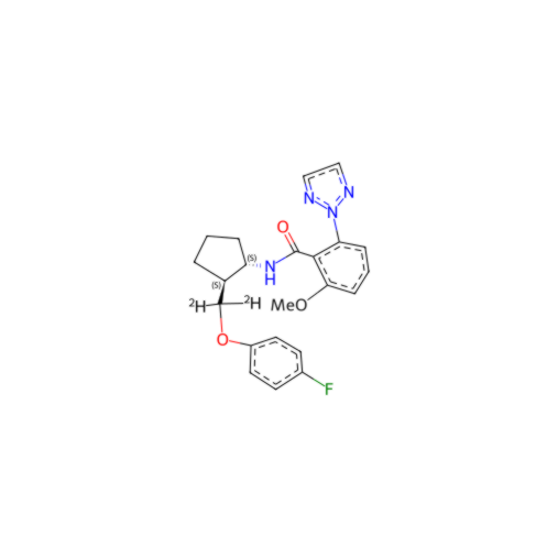 [2H]C([2H])(Oc1ccc(F)cc1)[C@H]1CCC[C@@H]1NC(=O)c1c(OC)cccc1-n1nccn1